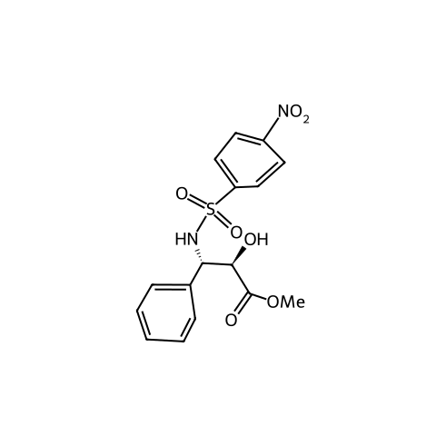 COC(=O)[C@H](O)[C@@H](NS(=O)(=O)c1ccc([N+](=O)[O-])cc1)c1ccccc1